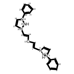 C(=CN1C=CN(c2ccccc2)N1)OC=CN1C=CN(c2ccccc2)N1